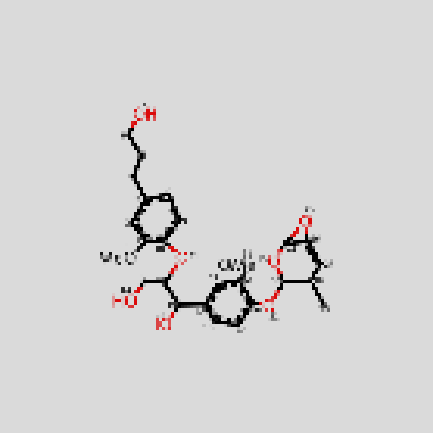 COc1cc(CCCO)ccc1OC(CO)C(O)c1ccc(OC2OC3OC3=CC2C)c(OC)c1